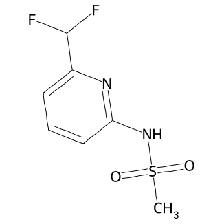 CS(=O)(=O)Nc1cccc(C(F)F)n1